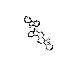 C1=CCC2C(C1)OC1C3C=CC4C(c5ccccc5N4c4cccc5c4sc4ccccc45)C3C=CC21